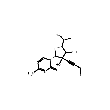 C[C@H](O)[C@H]1O[C@@H](n2cnc(N)nc2=O)[C@@](O)(C#CCF)C1O